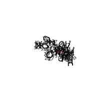 COc1c(CN2O[C@@H](CO)[C@H]([C@H](C)O)[C@H]2C(=O)N[C@H]2C[C@H]3C[C@@H]([C@@H]2C)C3(C)C)cccc1-c1cc(C(=O)N(C)CCC2CCCCN2)cc(N(C)C)c1